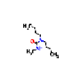 CCCCN(CCCC)C(=O)NC